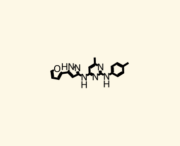 Cc1ccc(Nc2nc(C)cc(Nc3cc(-c4ccco4)[nH]n3)n2)cc1